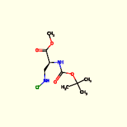 COC(=O)[C@H](CNCl)NC(=O)OC(C)(C)C